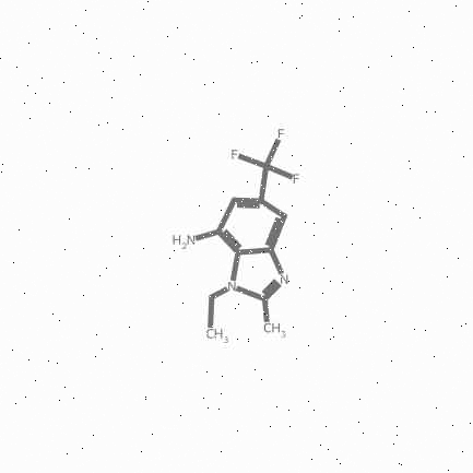 CCn1c(C)nc2cc(C(F)(F)F)cc(N)c21